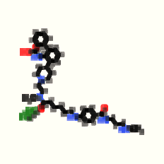 CNCCCNC(=O)c1ccc(NCCCCCC(=O)N(C)CCN2CCC(c3cccc(-c4ccccc4)c3NC(=O)O)CC2)cc1.Cl.Cl.Cl